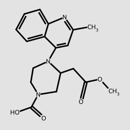 COC(=O)CC1CN(C(=O)O)CCN1c1cc(C)nc2ccccc12